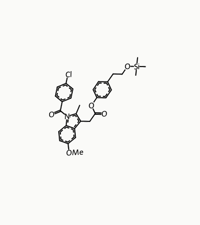 COc1ccc2c(c1)c(CC(=O)Oc1ccc(CCO[Si](C)(C)C)cc1)c(C)n2C(=O)c1ccc(Cl)cc1